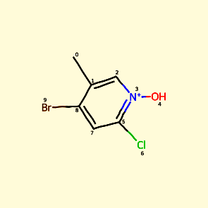 Cc1c[n+](O)c(Cl)cc1Br